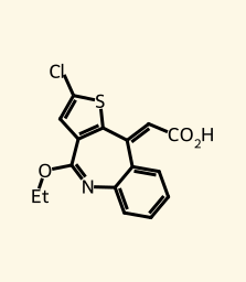 CCOC1=Nc2ccccc2C(=CC(=O)O)c2sc(Cl)cc21